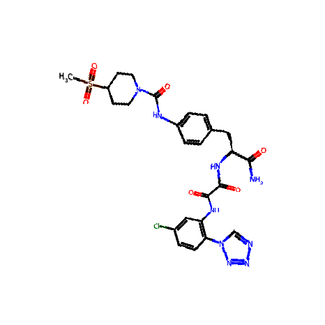 CS(=O)(=O)C1CCN(C(=O)Nc2ccc(C[C@H](NC(=O)C(=O)Nc3cc(Cl)ccc3-n3cnnn3)C(N)=O)cc2)CC1